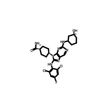 NC(=O)[C@H]1CC[C@@H](n2c(Nc3c(Cl)cc(F)cc3Cl)nc3cnc(NC4CCC[C@H](O)C4)nc32)CC1